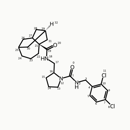 O=C(NCc1ccc(Cl)cc1Cl)N1CCCC1CNC(=O)[C@@]12CCCC3CC1C[C@H](C3)C2